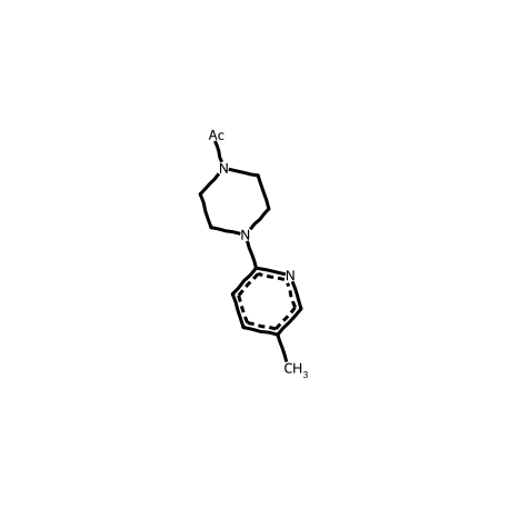 CC(=O)N1CCN(c2ccc(C)cn2)CC1